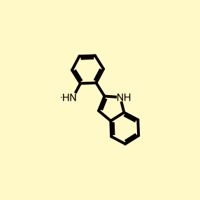 [NH]c1ccccc1-c1cc2ccccc2[nH]1